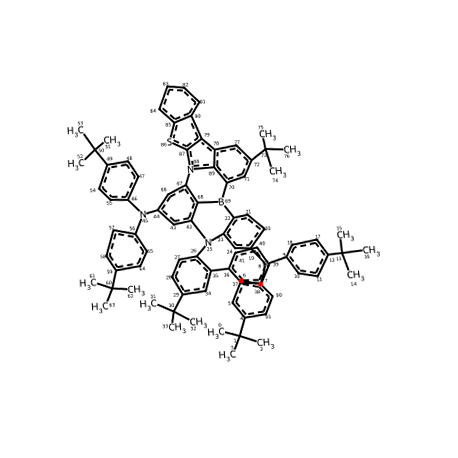 CC(C)(C)c1ccc(N(c2ccc(C(C)(C)C)cc2)c2ccc3c(c2)N(c2ccc(C(C)(C)C)cc2-c2ccccc2)c2cc(N(c4ccc(C(C)(C)C)cc4)c4ccc(C(C)(C)C)cc4)cc4c2B3c2cc(C(C)(C)C)cc3c5c6ccccc6sc5n-4c23)cc1